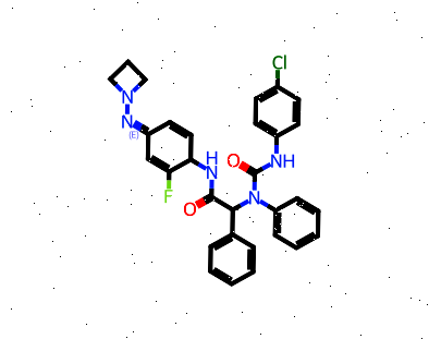 O=C(NC1C=C/C(=N\N2CCC2)C=C1F)C(c1ccccc1)N(C(=O)Nc1ccc(Cl)cc1)c1ccccc1